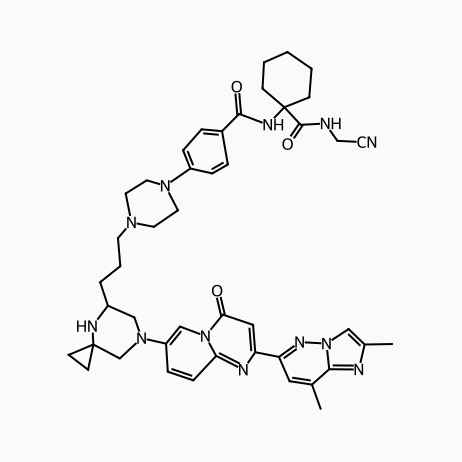 Cc1cn2nc(-c3cc(=O)n4cc(N5CC(CCCN6CCN(c7ccc(C(=O)NC8(C(=O)NCC#N)CCCCC8)cc7)CC6)NC6(CC6)C5)ccc4n3)cc(C)c2n1